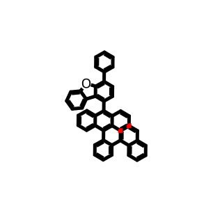 c1ccc(-c2ccc(-c3c4ccccc4c(-c4ccccc4-c4cccc5ccccc45)c4ccccc34)c3c2oc2ccccc23)cc1